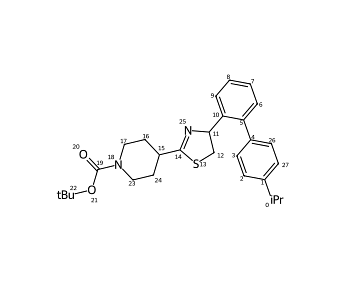 CC(C)c1ccc(-c2ccccc2C2CSC(C3CCN(C(=O)OC(C)(C)C)CC3)=N2)cc1